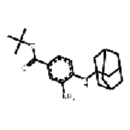 CC(C)(C)OC(=O)c1ccc(NC23CC4CC(CC(C4)C2)C3)c(N)c1